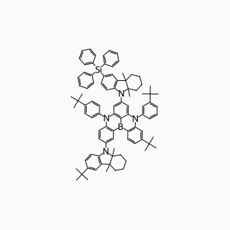 CC(C)(C)c1ccc(N2c3ccc(N4c5ccc(C(C)(C)C)cc5C5(C)CCCCC45C)cc3B3c4ccc(C(C)(C)C)cc4N(c4cccc(C(C)(C)C)c4)c4cc(N5c6ccc([Si](c7ccccc7)(c7ccccc7)c7ccccc7)cc6C6(C)CCCCC56C)cc2c43)cc1